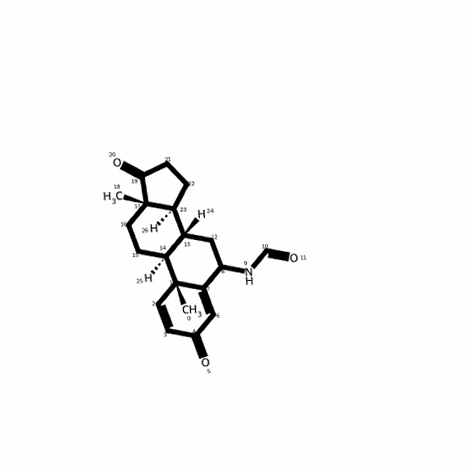 C[C@]12C=CC(=O)C=C1C(NC=O)C[C@@H]1[C@@H]2CC[C@]2(C)C(=O)CC[C@@H]12